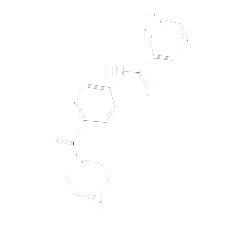 CN1CCN(C(=O)c2ccc(NC(=O)c3cccnn3)cc2)CC1